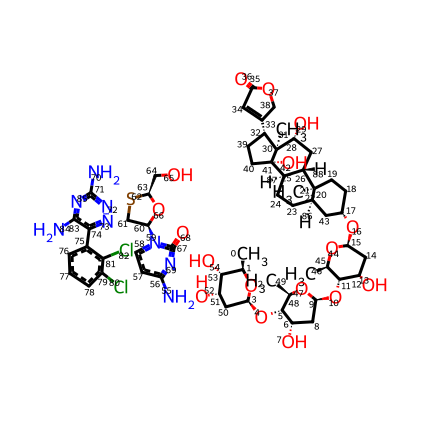 C[C@H]1O[C@@H](O[C@H]2[C@@H](O)C[C@H](O[C@H]3[C@@H](O)C[C@H](O[C@H]4CC[C@@]5(C)[C@H](CC[C@@H]6[C@@H]5C[C@@H](O)[C@]5(C)[C@@H](C7=CC(=O)OC7)CC[C@]65O)C4)O[C@@H]3C)O[C@@H]2C)C[C@H](O)[C@@H]1O.Nc1ccn([C@H]2CS[C@@H](CO)O2)c(=O)n1.Nc1nnc(-c2cccc(Cl)c2Cl)c(N)n1